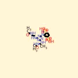 CC(=O)NCCNc1nc(Nc2cc(S(=O)(=O)O)ccc2S(=O)(=O)O)nc(NC(C)NC(C)=O)n1